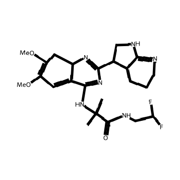 COC1=C(OC)CC2N=C(C3CNC4=NCCCC43)N=C(NC(C)(C)C(=O)NCC(F)F)C2=C1